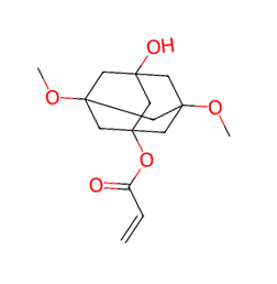 C=CC(=O)OC12CC3(O)CC(OC)(CC(OC)(C3)C1)C2